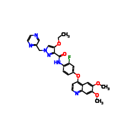 CCOc1cn(Cc2cnccn2)nc1C(=O)Nc1ccc(Oc2ccnc3cc(OC)c(OC)cc23)cc1F